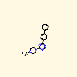 CN1CCN(c2ncnc(-c3ccc(-c4ccccc4)cc3)n2)CC1